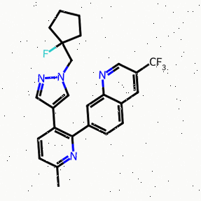 Cc1ccc(-c2cnn(CC3(F)CCCC3)c2)c(-c2ccc3cc(C(F)(F)F)cnc3c2)n1